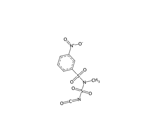 CN(S(=O)(=O)N=C=O)S(=O)(=O)c1cccc([N+](=O)[O-])c1